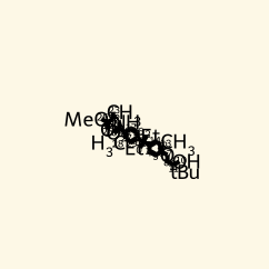 CCC(CC)(c1ccc(OCC(O)C(C)(C)C)c(C)c1)c1ccc(C(=O)NC(C)C(=O)OC)c(C)c1